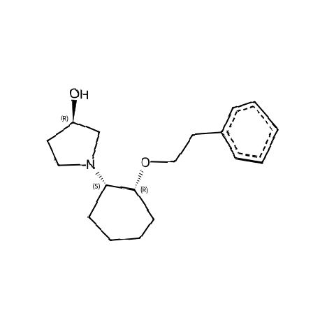 O[C@@H]1CCN([C@H]2CCCC[C@H]2OCCc2ccccc2)C1